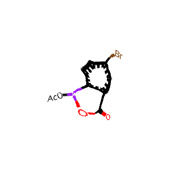 CC(=O)OI1OC(=O)c2cc(Br)ccc21